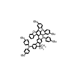 CC(C)(C)c1ccc(N2B3c4cc(C(C)(C)C)ccc4-n4c5ccc(C(C)(C)C)cc5c5c6oc7ccccc7c6c(c3c54)-c3cc4c(cc32)C(C)(C)c2ccc(N(c3ccc(C(C)(C)C)cc3)c3ccc(C(C)(C)C)cc3)cc2-4)cc1